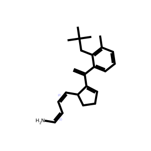 C=C(C1=CCCC1/C=C\C=C/N)c1cccc(C)c1CC(C)(C)C